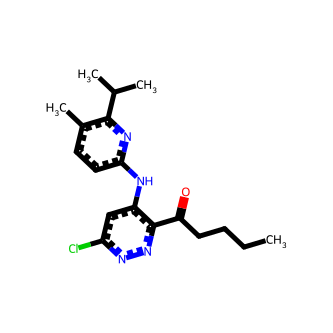 CCCCC(=O)c1nnc(Cl)cc1Nc1ccc(C)c(C(C)C)n1